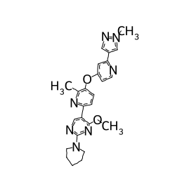 COc1nc(N2CCCCC2)ncc1-c1ccc(Oc2ccnc(-c3cnn(C)c3)c2)c(C)n1